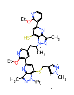 CCOc1ncc(CC(C)n2nc(C)c3nc(-c4cccnc4OCC)cc(S)c32)cc1-c1cc(SCc2cnn(C)c2)c2c(n1)c(C)nn2C(C)C